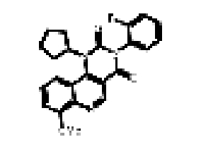 COc1cccc2c1ncc1c(=O)n(-c3ccccc3F)c(=O)n(C3CCCC3)c12